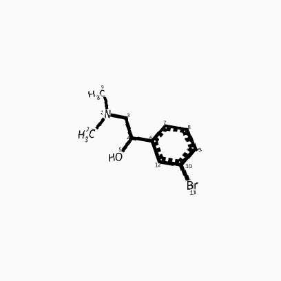 CN(C)CC(O)c1cccc(Br)c1